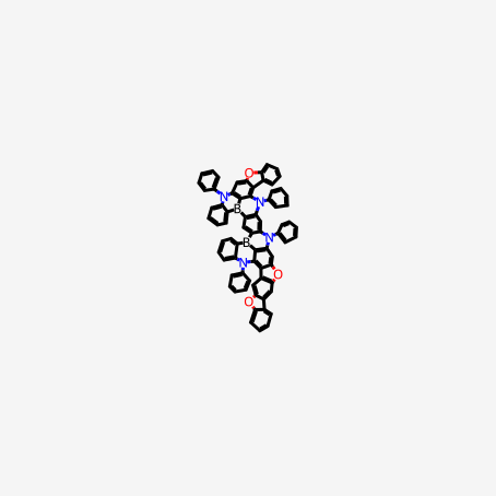 c1ccc(N2c3ccccc3B3c4cc5c(cc4N(c4ccccc4)c4c3c2cc2oc3ccccc3c42)N(c2ccccc2)c2cc3oc4cc6c(cc4c3c3c2B5c2ccccc2N3c2ccccc2)oc2ccccc26)cc1